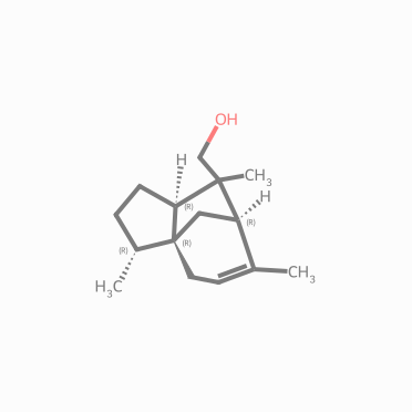 CC1=CC[C@]23C[C@H]1C(C)(CO)[C@@H]2CC[C@H]3C